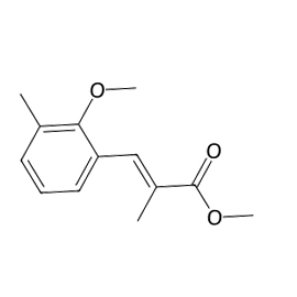 COC(=O)/C(C)=C/c1cccc(C)c1OC